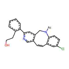 CC(=O)N1Cc2cc(-c3ccccc3CCO)ncc2/C=C\c2cc(Cl)ccc21